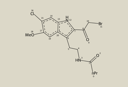 CCCC(=O)NCCc1c(C(=O)CBr)[nH]c2cc(Cl)c(OC)cc12